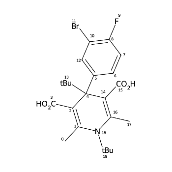 CC1=C(C(=O)O)C(c2ccc(F)c(Br)c2)(C(C)(C)C)C(C(=O)O)=C(C)N1C(C)(C)C